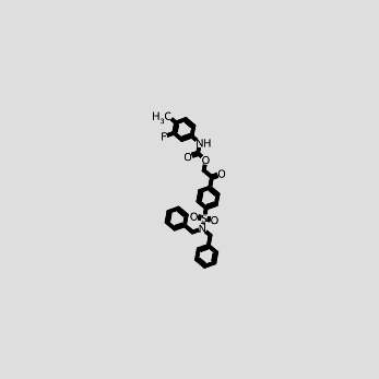 Cc1ccc(NC(=O)OCC(=O)c2ccc(S(=O)(=O)N(Cc3ccccc3)Cc3ccccc3)cc2)cc1F